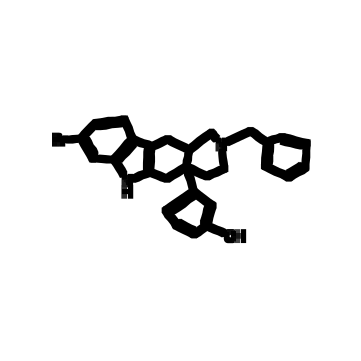 Oc1cccc(C23CCN(Cc4ccccc4)CC2Cc2c([nH]c4cc(Br)ccc24)C3)c1